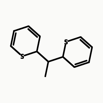 CC(C1C=CC=CS1)C1C=CC=CS1